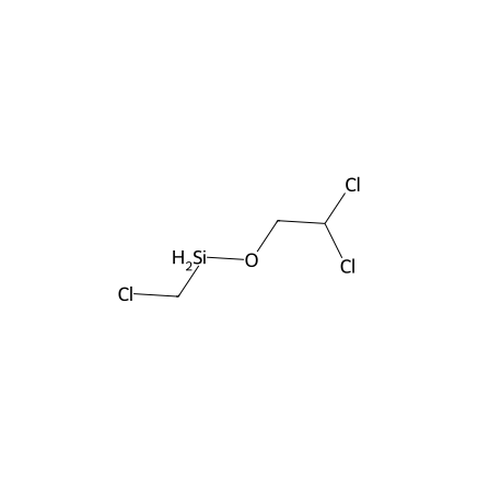 ClC[SiH2]OCC(Cl)Cl